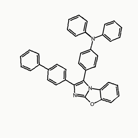 c1ccc(-c2ccc(-c3nc4oc5ccccc5n4c3-c3ccc(N(c4ccccc4)c4ccccc4)cc3)cc2)cc1